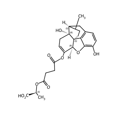 CC1CC[C@]23c4c5ccc(O)c4O[C@H]2C(OC(=O)CCC(=O)O[C@@H](C)C(=O)O)=CC[C@@]3(O)[C@H]1C5